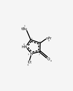 CCCc1c(C(C)(C)C)[nH]n(CC)c1=O